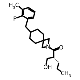 CCC[C@H](CO)C(=O)N1CC2(CCC(Cc3cccc(C)c3F)CC2)C1